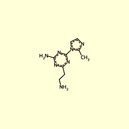 Cc1nccn1-c1nc(N)nc(CCN)n1